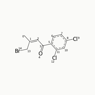 CC(=CC(=O)c1ccc(Cl)cc1Cl)CBr